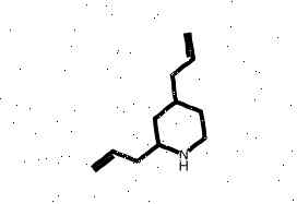 C=CCC1CCNC(CC=C)C1